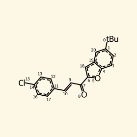 CC(C)(C)c1ccc2oc(C(=O)C=Cc3ccc(Cl)cc3)cc2c1